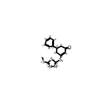 CSc1nnc(SC2=CC(=O)CC(c3ccccc3)C2)s1